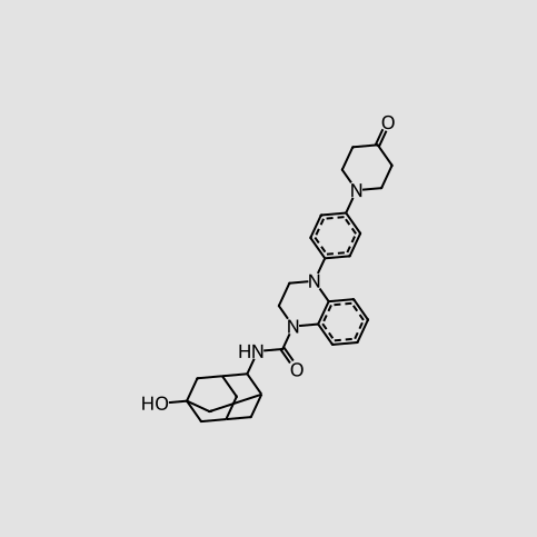 O=C1CCN(c2ccc(N3CCN(C(=O)NC4C5CC6CC4CC(O)(C6)C5)c4ccccc43)cc2)CC1